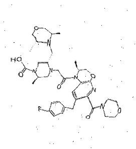 C[C@@H]1CN(CC(=O)N2c3cc(Cc4ccc(F)cc4)c(C(=O)N4CCOCC4)nc3OC[C@@H]2C)[C@@H](CN2[C@H](C)COC[C@H]2C)CN1C(=O)O